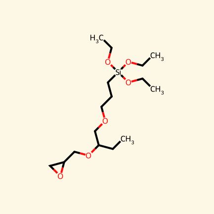 CCO[Si](CCCOCC(CC)OCC1CO1)(OCC)OCC